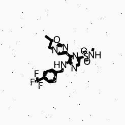 CNS(=O)(=O)c1cnc(NCc2ccc(C(F)(F)F)cc2)c(-c2cn3c(n2)OC(C)C3)n1